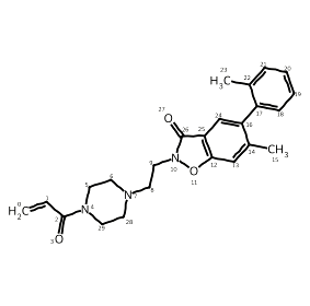 C=CC(=O)N1CCN(CCn2oc3cc(C)c(-c4ccccc4C)cc3c2=O)CC1